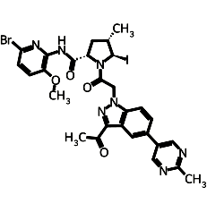 COc1ccc(Br)nc1NC(=O)[C@@H]1C[C@H](C)[C@@H](I)N1C(=O)Cn1nc(C(C)=O)c2cc(-c3cnc(C)nc3)ccc21